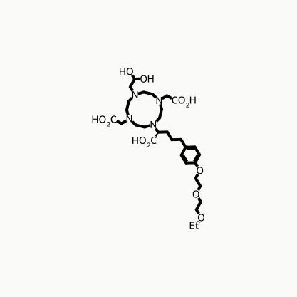 CCOCCOCCOc1ccc(CCC[C@@H](C(=O)O)N2CCN(CC(=O)O)CCN(CC(O)O)CCN(CC(=O)O)CC2)cc1